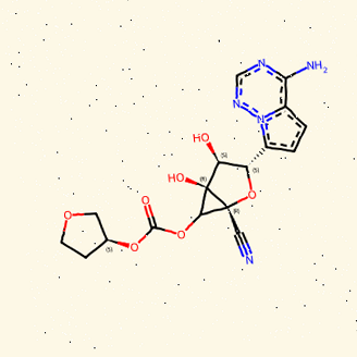 N#C[C@]12O[C@@H](c3ccc4c(N)ncnn34)[C@H](O)[C@@]1(O)C2OC(=O)O[C@H]1CCOC1